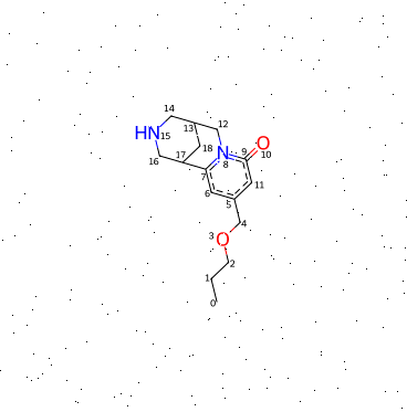 CCCOCc1cc2n(c(=O)c1)CC1CNCC2C1